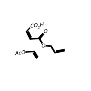 C=CCOC(=O)/C=C\C(=O)O.C=COC(C)=O